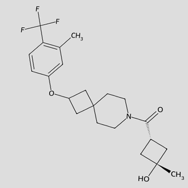 Cc1cc(OC2CC3(CCN(C(=O)[C@H]4C[C@@](C)(O)C4)CC3)C2)ccc1C(F)(F)F